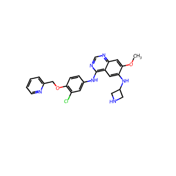 COc1cc2ncnc(Nc3ccc(OCc4ccccn4)c(Cl)c3)c2cc1NC1CNC1